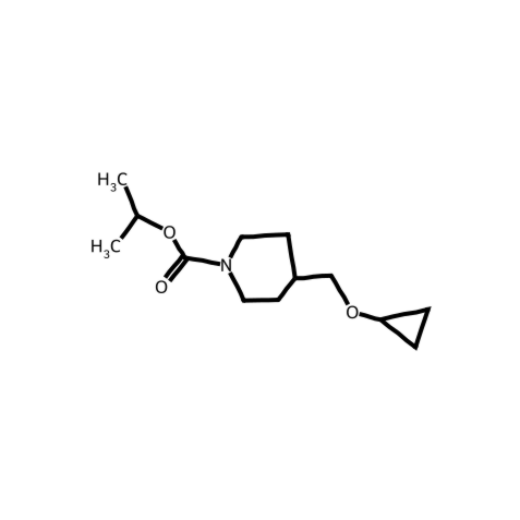 CC(C)OC(=O)N1CCC(COC2CC2)CC1